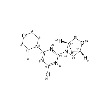 C[C@@H]1COCCN1c1nc(Cl)nc(N2C[C@@H]3C[C@H]2CO3)n1